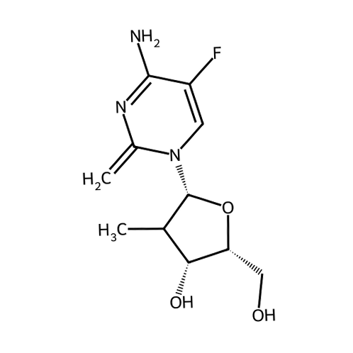 C=C1N=C(N)C(F)=CN1[C@@H]1O[C@H](CO)[C@H](O)C1C